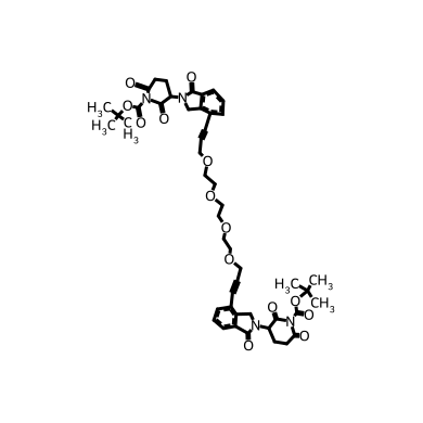 CC(C)(C)OC(=O)N1C(=O)CCC(N2Cc3c(C#CCOCCOCCOCCOCC#Cc4cccc5c4CN(C4CCC(=O)N(C(=O)OC(C)(C)C)C4=O)C5=O)cccc3C2=O)C1=O